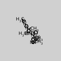 CCc1cc(Nc2nc3c(c(Nc4ccc5nccnc5c4P(C)(C)=O)n2)CCCC3)c(OC)cc1N1CCC(N2CCN(C)CC2)CC1